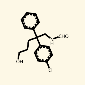 O=CNCC(CCCO)(c1ccccc1)c1ccc(Cl)cc1